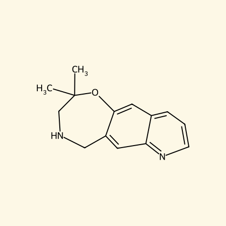 CC1(C)CNCc2cc3ncccc3cc2O1